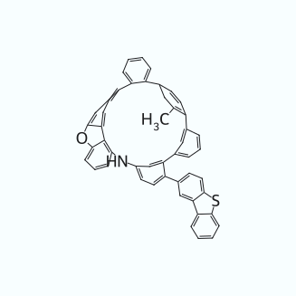 CC1=C2C=CC(C1)c1ccccc1-c1ccc3c(c1)oc1cccc(c13)Nc1ccc(-c3ccc4sc5ccccc5c4c3)c(c1)-c1cccc2c1